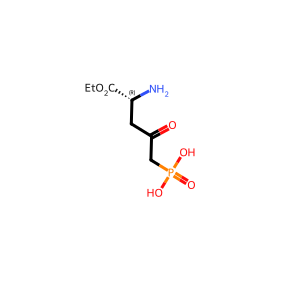 CCOC(=O)[C@H](N)CC(=O)CP(=O)(O)O